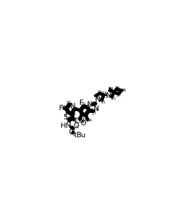 CC(C)(C)OC(=O)Nc1sc2c(F)cnc(-c3c4c(c5cnc(N6CC[C@@H](N7CC8(CCC8)C7)C6)nc5c3F)COC4)c2c1C#N